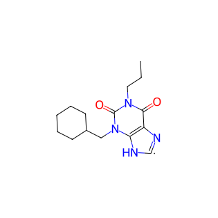 CCCn1c(=O)c2n[c][nH]c2n(CC2CCCCC2)c1=O